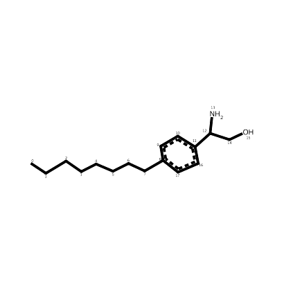 CCCCCCCCc1ccc(C(N)CO)cc1